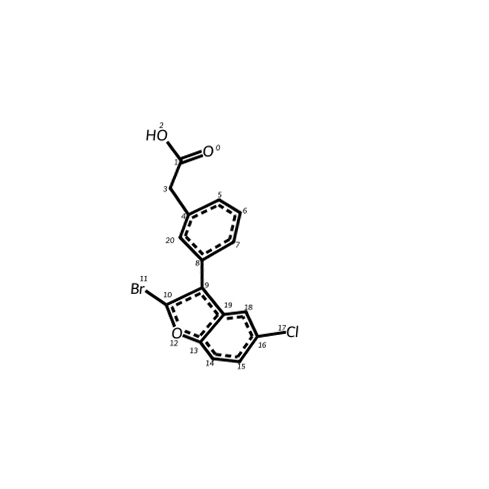 O=C(O)Cc1cccc(-c2c(Br)oc3ccc(Cl)cc23)c1